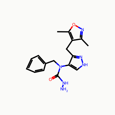 Cc1noc(C)c1Cc1n[nH]cc1N(Cc1ccccc1)C(=O)NN